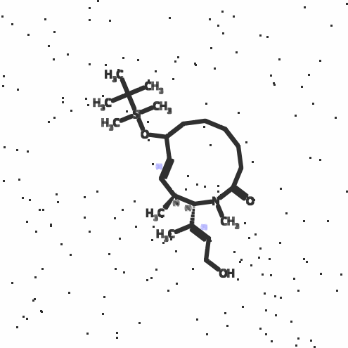 C/C(=C\CO)[C@@H]1[C@@H](C)/C=C/C(O[Si](C)(C)C(C)(C)C)CCCCCC(=O)N1C